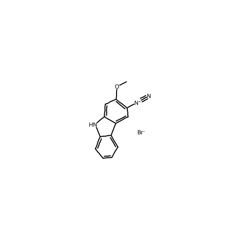 COc1cc2[nH]c3ccccc3c2cc1[N+]#N.[Br-]